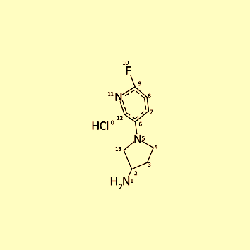 Cl.NC1CCN(c2ccc(F)nc2)C1